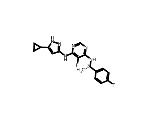 C[C@H](Nc1ncnc(Nc2cc(C3CC3)[nH]n2)c1F)c1ccc(F)cc1